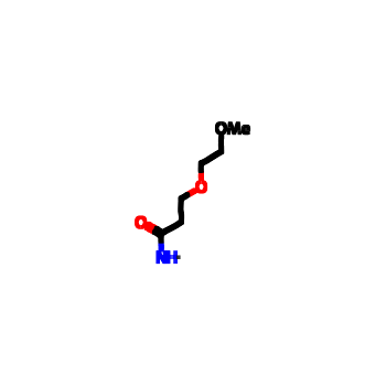 COCCOCCC([NH])=O